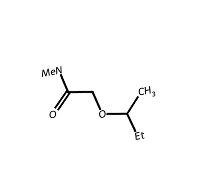 CCC(C)OCC(=O)NC